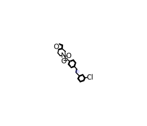 O=S(=O)(c1ccc(/C=C/c2cccc(Cl)c2)cc1)N1CCc2occc2C1